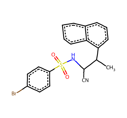 CC(c1cccc2ccccc12)C(C#N)NS(=O)(=O)c1ccc(Br)cc1